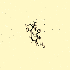 Nc1ccn([C@@H]2OCCC2(F)F)c(=O)n1